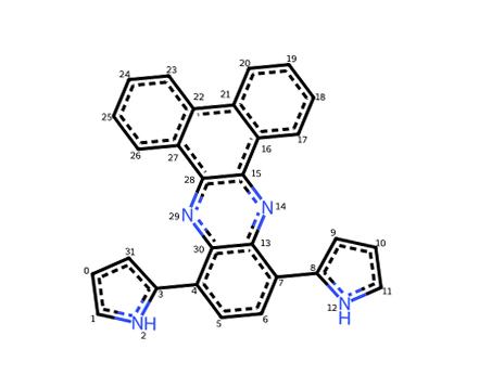 c1c[nH]c(-c2ccc(-c3ccc[nH]3)c3nc4c5ccccc5c5ccccc5c4nc23)c1